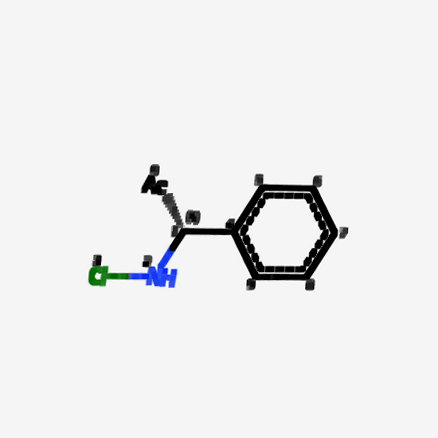 CC(=O)[C@@H](NCl)c1ccccc1